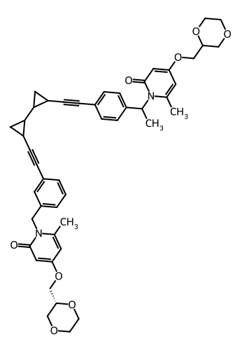 Cc1cc(OC[C@H]2COCCO2)cc(=O)n1Cc1cccc(C#CC2CC2C2CC2C#Cc2ccc(C(C)n3c(C)cc(OCC4COCCO4)cc3=O)cc2)c1